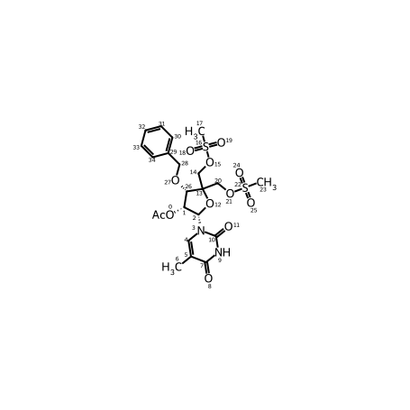 CC(=O)O[C@H]1[C@@H](n2cc(C)c(=O)[nH]c2=O)OC(COS(C)(=O)=O)(COS(C)(=O)=O)[C@H]1OCc1ccccc1